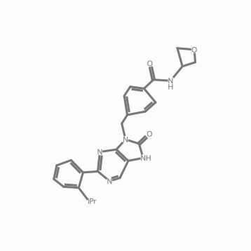 CC(C)c1ccccc1-c1ncc2[nH]c(=O)n(Cc3ccc(C(=O)NC4COC4)cc3)c2n1